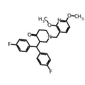 COc1ccc(CN2CCC(=O)C(C(c3ccc(F)cc3)c3ccc(F)cc3)C2)c(OC)n1